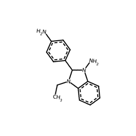 CCN1c2ccccc2N(N)C1c1ccc(N)cc1